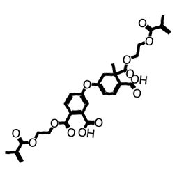 C=C(C)C(=O)OCCOC(=O)c1ccc(OC2=CC=C(C(=O)O)C(C)(C(=O)OCCOC(=O)C(=C)C)C2)cc1C(=O)O